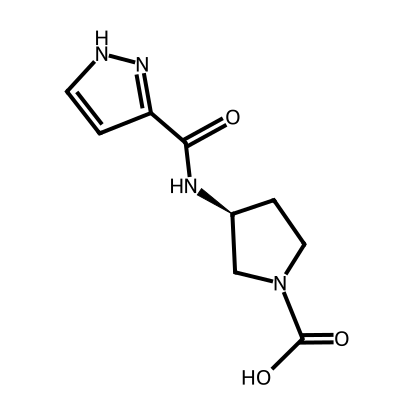 O=C(N[C@H]1CCN(C(=O)O)C1)c1cc[nH]n1